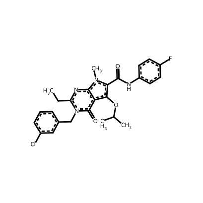 CCc1nc2c(c(OC(C)C)c(C(=O)Nc3ccc(F)cc3)n2C)c(=O)n1Cc1cccc(Cl)c1